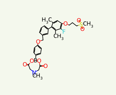 Cc1cc(OCCCS(C)(=O)=O)c(F)c(C)c1-c1cccc(COc2ccc(B3OC(=O)CN(C)CC(=O)O3)cc2)c1